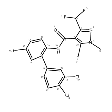 Cn1nc(C(F)F)c(C(=O)Nc2ccc(F)cc2-c2ccc(Cl)c(Cl)c2)c1F